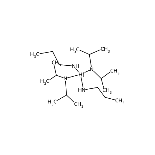 CCC[NH][Hf]([NH]CCC)([N](C(C)C)C(C)C)[N](C(C)C)C(C)C